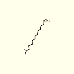 [CH2]CCCCCCCCCCCCCCCCCCN(C)C